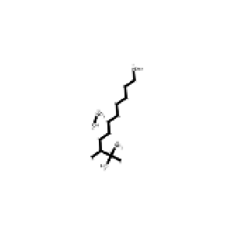 CCCCCCCCCCCCCCCCCCC(C)C(C)(N)O.O=[N+]([O-])O